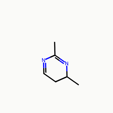 CC1=NC(C)CC=N1